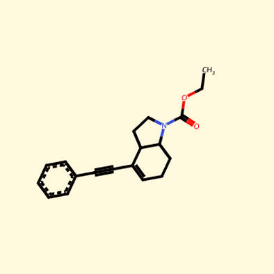 CCOC(=O)N1CCC2C(C#Cc3ccccc3)=CCCC21